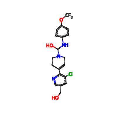 OCc1cnc(C2=CCN(C(O)Nc3ccc(OC(F)(F)F)cc3)CC2)c(Cl)c1